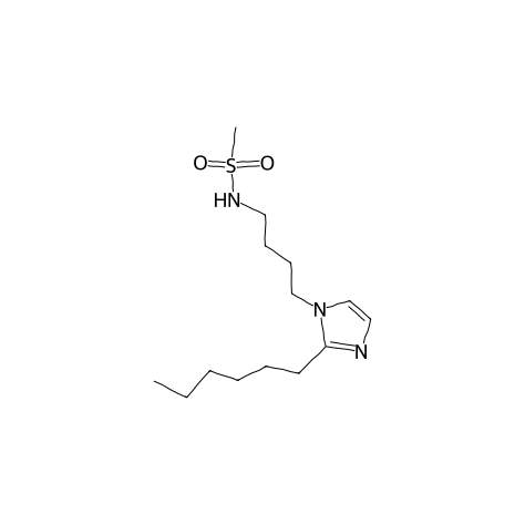 CCCCCCc1nccn1CCCCNS(C)(=O)=O